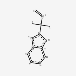 C=NC(C)(C)c1nc2ccccc2s1